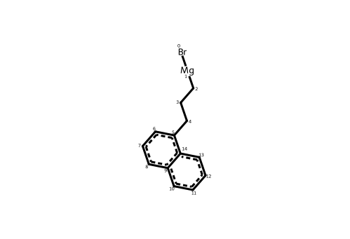 [Br][Mg][CH2]CCc1cccc2ccccc12